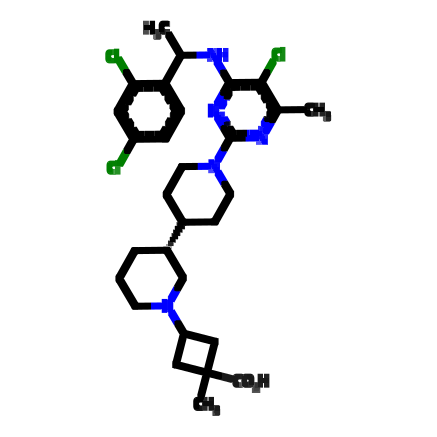 Cc1nc(N2CCC([C@H]3CCCN(C4CC(C)(C(=O)O)C4)C3)CC2)nc(NC(C)c2ccc(Cl)cc2Cl)c1Cl